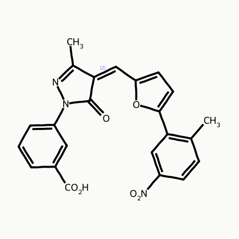 CC1=NN(c2cccc(C(=O)O)c2)C(=O)/C1=C\c1ccc(-c2cc([N+](=O)[O-])ccc2C)o1